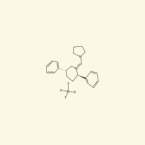 C(N1CCCC1)=[N+]1C[C@@H](c2ccccc2)CC[C@@H]1c1ccccc1.F[B-](F)(F)F